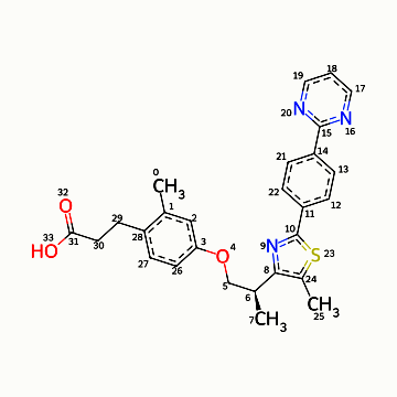 Cc1cc(OC[C@H](C)c2nc(-c3ccc(-c4ncccn4)cc3)sc2C)ccc1CCC(=O)O